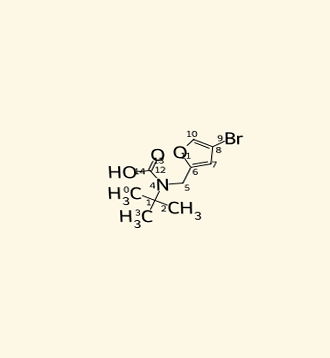 CC(C)(C)N(Cc1cc(Br)co1)C(=O)O